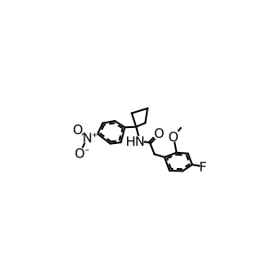 COc1cc(F)ccc1CC(=O)NC1(c2ccc([N+](=O)[O-])cc2)CCC1